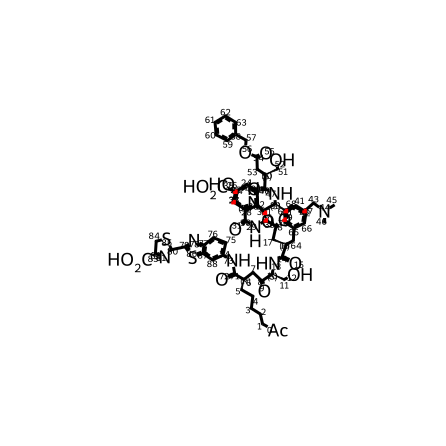 CC(=O)CCCCC[C@H](CC(=O)[C@H](CO)NC(=O)[C@@H](CC(=O)[C@H](Cc1ccc(O)cc1)NC(=O)[C@H](CCC(=O)O)NC(=O)[C@H](CCCCN(C)C)NC(=O)[C@H](CO)CC(=O)OCc1ccccc1)Cc1ccccc1)C(=O)Nc1ccc2nc(C3=N[C@@H](C(=O)O)CS3)sc2c1